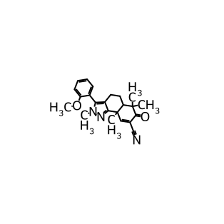 COc1ccccc1-c1c2c(nn1C)C1(C)C=C(C#N)C(=O)C(C)(C)C1CC2